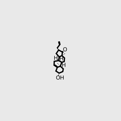 C=CC[C@@H]1C[C@H]2[C@@H]3CC=C4C[C@@H](O)CC[C@]4(C)[C@H]3CC[C@]2(C)C1=O